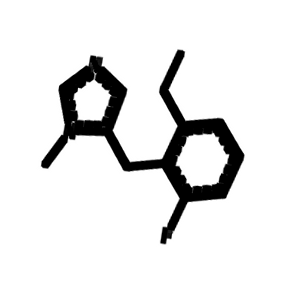 CCc1cccc(F)c1Cc1cncn1C